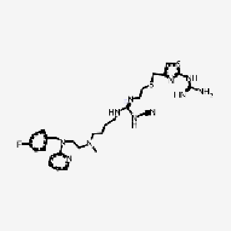 CN(CCCCN/C(=N/CCSCc1csc(NC(=N)N)n1)NC#N)CCN(Cc1ccc(F)cc1)c1ccccn1